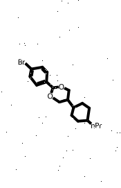 CCCC1CCC(C2COC(c3ccc(Br)cc3)OC2)CC1